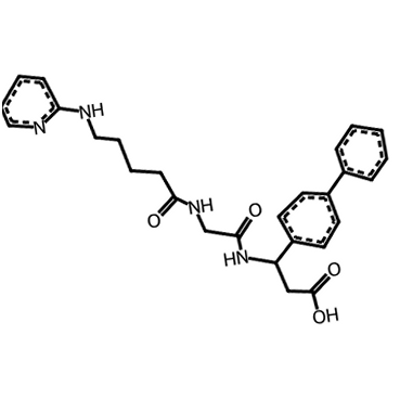 O=C(O)CC(NC(=O)CNC(=O)CCCCNc1ccccn1)c1ccc(-c2ccccc2)cc1